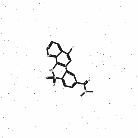 CN(C)C(=O)c1ccc2c(c1)-c1cc(Cl)c3cccnc3c1NS2(=O)=O